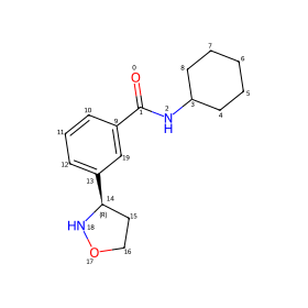 O=C(NC1CCCCC1)c1cccc([C@H]2CCON2)c1